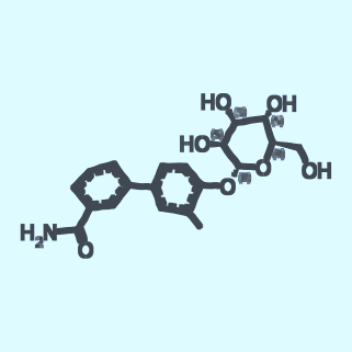 Cc1cc(-c2cccc(C(N)=O)c2)ccc1O[C@H]1O[C@H](CO)[C@@H](O)[C@H](O)[C@@H]1O